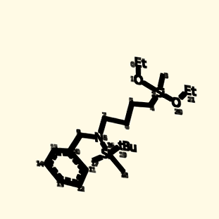 CCO[Si](C)(CCCCN(Cc1ccccc1)[Si](C)(C)C(C)(C)C)OCC